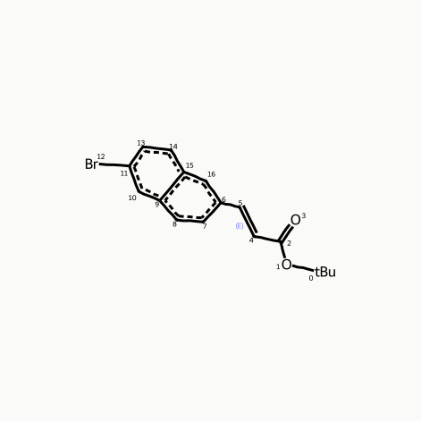 CC(C)(C)OC(=O)/C=C/c1ccc2cc(Br)ccc2c1